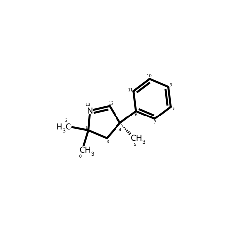 CC1(C)C[C@](C)(c2ccccc2)C=N1